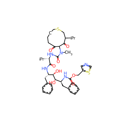 CC(C)C1CSCCCCC(=O)C(N(C)C(=O)N[C@H](C(=O)N[C@@H](Cc2ccccc2)[C@@H](O)[C@@H](O)[C@H](Cc2ccccc2)NC(=O)OCc2cncs2)C(C)C)C1=O